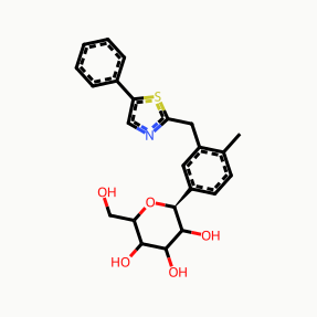 Cc1ccc([C@@H]2OC(CO)C(O)C(O)C2O)cc1Cc1ncc(-c2ccccc2)s1